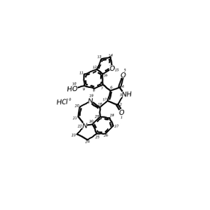 Cl.O=C1NC(=O)C(c2cc(O)cc3ccoc23)=C1C1=NC=CN2CCc3cccc1c32